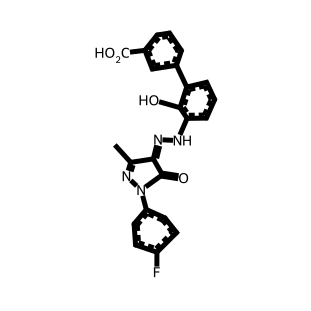 CC1=NN(c2ccc(F)cc2)C(=O)C1=NNc1cccc(-c2cccc(C(=O)O)c2)c1O